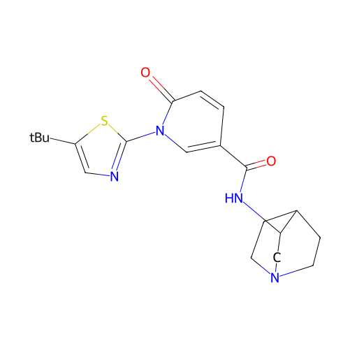 CC(C)(C)c1cnc(-n2cc(C(=O)NC3CN4CCC3CC4)ccc2=O)s1